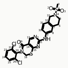 CS(=O)(=O)N1CCc2cc(Nc3ncc4c(n3)SCN(c3c(Cl)cccc3Cl)C4=O)ccc2C1